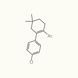 CC(=O)C1=C(c2ccc(Cl)cc2)CC(C)(C)CC1